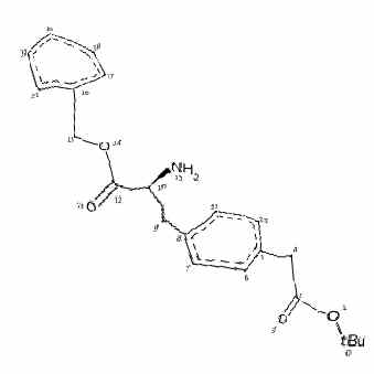 CC(C)(C)OC(=O)Cc1ccc(C[C@H](N)C(=O)OCc2ccccc2)cc1